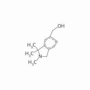 CN1Cc2ccc(CO)cc2C1(C)C